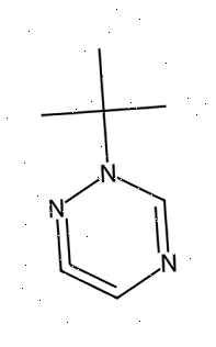 CC(C)(C)N1C=NC=C=N1